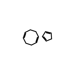 C1=CCC=C1.C1=CCCC=CCC1